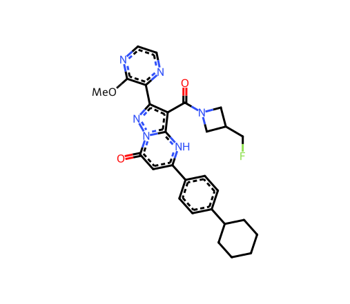 COc1nccnc1-c1nn2c(=O)cc(-c3ccc(C4CCCCC4)cc3)[nH]c2c1C(=O)N1CC(CF)C1